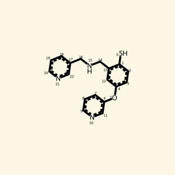 Sc1ccc(Oc2cccnc2)cc1CNCc1cccnc1